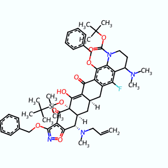 C=CCN(C)[C@@H]1c2onc(OCc3ccccc3)c2C(=O)[C@@]2(O[Si](C)(C)C(C)(C)C)C(O)=C3C(=O)c4c(c(F)c5c(c4OCc4ccccc4)N(C(=O)OC(C)(C)C)CCC5N(C)C)C[C@H]3C[C@@H]12